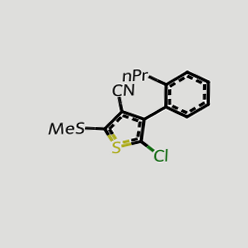 CCCc1ccccc1-c1c(Cl)sc(SC)c1C#N